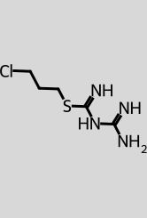 N=C(N)NC(=N)SCCCCl